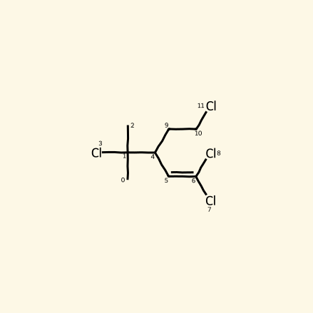 CC(C)(Cl)C(C=C(Cl)Cl)CCCl